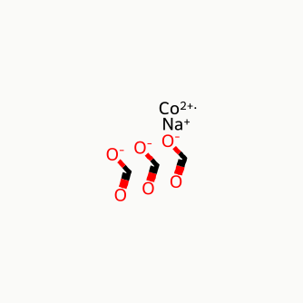 O=C[O-].O=C[O-].O=C[O-].[Co+2].[Na+]